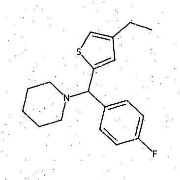 CCc1csc(C(c2ccc(F)cc2)N2CCCCC2)c1